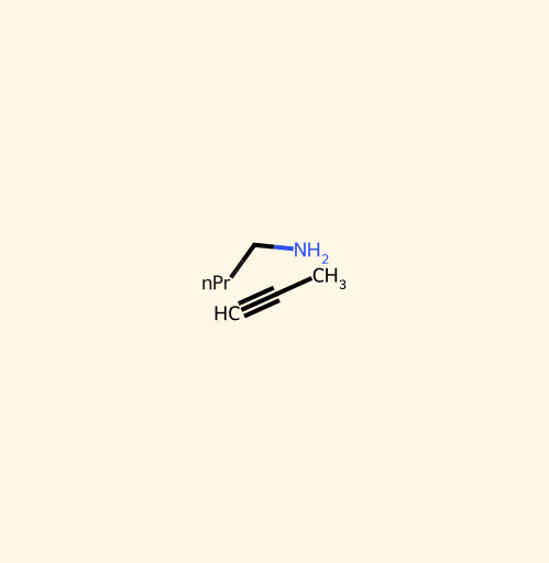 C#CC.CCCCN